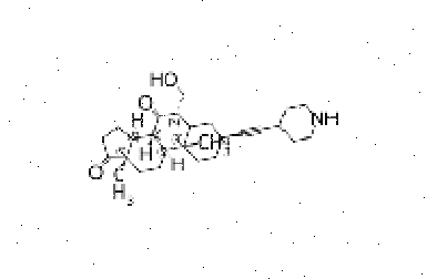 C[C@]12CC[C@H](C#CC3CCNCC3)CC1[C@@H](CO)C(=O)[C@@H]1[C@@H]2CC[C@]2(C)C(=O)CC[C@@H]12